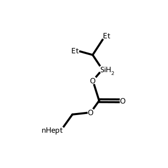 CCCCCCCCOC(=O)O[SiH2]C(CC)CC